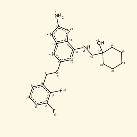 Nc1nc2nc(SCc3cccc(F)c3F)nc(NCC3(O)CCCCC3)c2s1